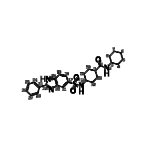 O=C(NC1CCCCC1)C1CCC(NS(=O)(=O)c2ccc3[nH]c(-c4ccccc4)nc3c2)CC1